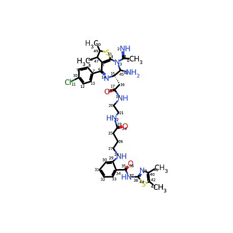 CC(=N)N1C2=C(C(c3ccc(Cl)cc3)=N[C@@H](CC(=O)NCCNC(=O)CCCNc3ccccc3C(=O)Nc3nc(C)c(C)s3)C1N)C(C)C(C)S2